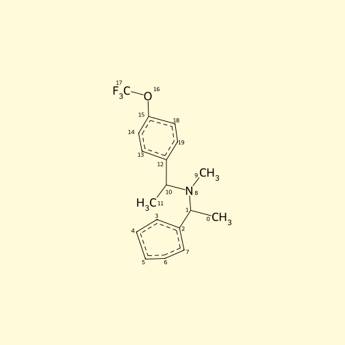 CC(c1ccccc1)N(C)C(C)c1ccc(OC(F)(F)F)cc1